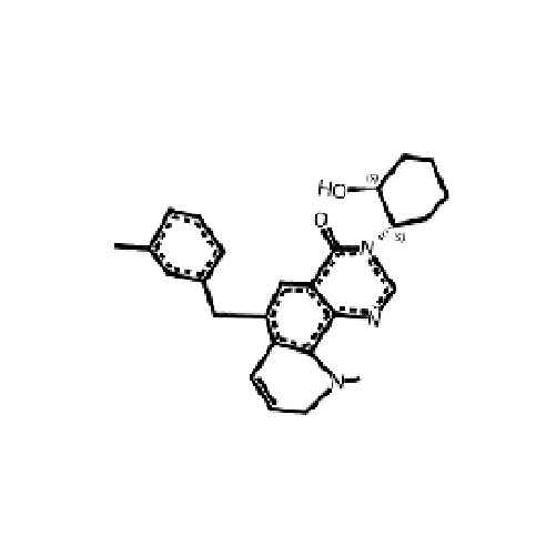 Cc1cccc(Cc2cc3c(=O)n([C@H]4CCCC[C@@H]4O)cnc3c3c2C=CCN3C)c1